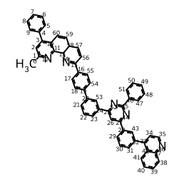 Cc1cc(-c2ccccc2)c2c(n1)C1N=C(c3ccc(-c4cccc(-c5cc(-c6cccc(-c7ccnc8ccccc78)c6)nc(-c6ccccc6)n5)c4)cc3)C=CC1C=C2